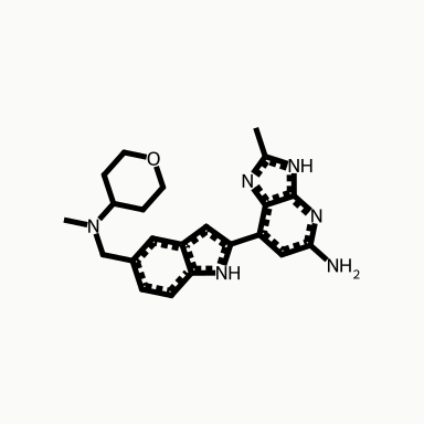 Cc1nc2c(-c3cc4cc(CN(C)C5CCOCC5)ccc4[nH]3)cc(N)nc2[nH]1